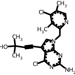 Cc1cnc(Cn2cc(C#CC(C)(C)O)c3c(Cl)nc(N)nc32)c(C)c1Cl